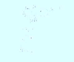 CN(C/C=C/C(=O)N1CC[C@@H](n2nc(-c3ccc(C(=O)O)cc3)c3c(N)ncnc32)C1)C1CC1